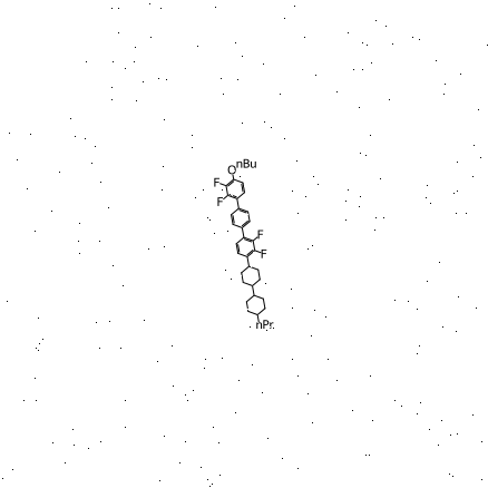 CCCCOc1ccc(-c2ccc(-c3ccc(C4CCC(C5CCC(CCC)CC5)CC4)c(F)c3F)cc2)c(F)c1F